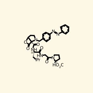 CC(C)C[C@H](NC(=O)[C@]12C(=O)OC1CCN2Cc1ccc(N=Nc2ccccc2)cc1)C(=O)NCC(=O)N1CCC[C@H]1C(=O)O